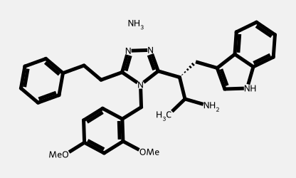 COc1ccc(Cn2c(CCc3ccccc3)nnc2[C@H](Cc2c[nH]c3ccccc23)C(C)N)c(OC)c1.N